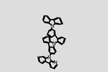 c1cc(-c2ccccc2-n2c3ccccc3c3cc(-n4c5ccccc5c5cccnc54)ccc32)cc(-n2c3ccccc3c3ccccc32)c1